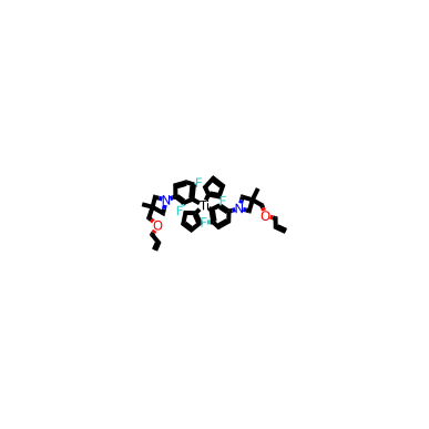 C=CCOCC1(C)CN(c2ccc(F)[c]([Ti]([C]3=CC=CC3)([C]3=CC=CC3)[c]3c(F)ccc(N4CC(C)(COCC=C)C4)c3F)c2F)C1